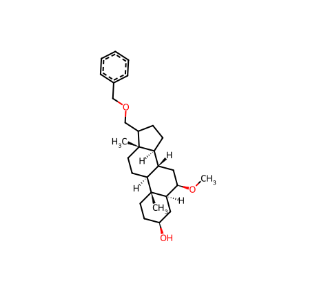 CO[C@@H]1C[C@@H]2[C@H](CC[C@]3(C)C(COCc4ccccc4)CC[C@@H]23)[C@@]2(C)CC[C@H](O)C[C@H]12